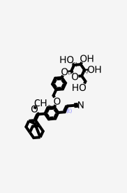 COC(=C1C2CC3CC(C2)CC1C3)c1ccc(/C=C/C#N)c(OCc2ccc(O[C@@H]3OC(CO)[C@H](O)C(O)[C@@H]3O)cc2)c1